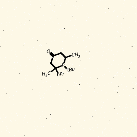 CCCC1(C)CC(=O)CC(C)P1C(C)(C)C